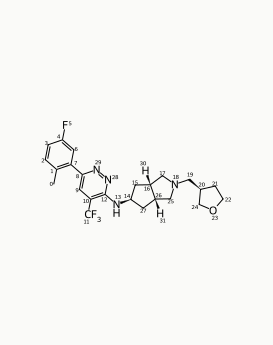 Cc1ccc(F)cc1-c1cc(C(F)(F)F)c(N[C@H]2C[C@@H]3CN(C[C@H]4CCOC4)C[C@@H]3C2)nn1